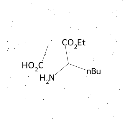 CC(=O)O.CCCCC(N)C(=O)OCC